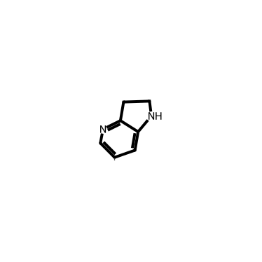 [c]1cnc2c(c1)NCC2